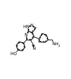 N#Cc1c(-c2ccc(O)cc2)nc2[nH]ncc2c1-c1ccc(CN)cc1